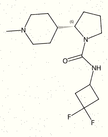 CN1CCC([C@@H]2CCCN2C(=O)NC2CC(F)(F)C2)CC1